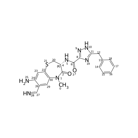 CN1C(=O)[C@@H](NC(=O)c2n[nH]c(Cc3ccccc3)n2)CSc2cc(N)c(C=N)cc21